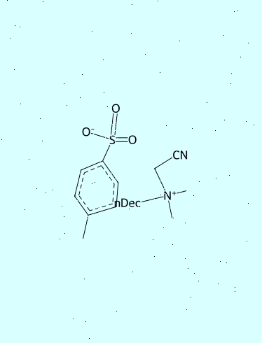 CCCCCCCCCC[N+](C)(C)CC#N.Cc1ccc(S(=O)(=O)[O-])cc1